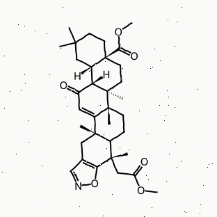 COC(=O)C[C@]1(C)c2oncc2C[C@]2(C)C3=CC(=O)[C@@H]4[C@@H]5CC(C)(C)CC[C@]5(C(=O)OC)CC[C@@]4(C)[C@]3(C)CCC21